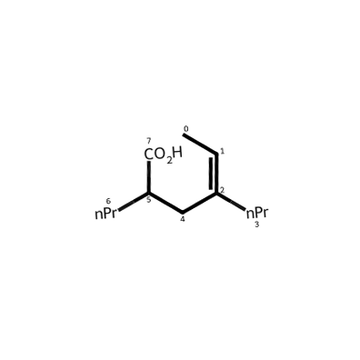 CC=C(CCC)CC(CCC)C(=O)O